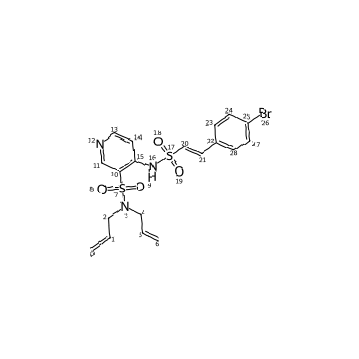 C=CCN(CC=C)S(=O)(=O)c1cnccc1NS(=O)(=O)/C=C/c1ccc(Br)cc1